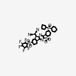 N#CC(C#N)=C1c2cc(S(=O)(=O)c3c(F)c(F)c(F)c(F)c3F)ccc2-c2nc3c(nc21)-c1cc(P(=O)(c2ccccc2)c2ccccc2)ccc1S3(=O)=O